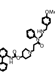 COc1ccc(CNCN(C(=O)CCN2CCC(OC(=O)Nc3ccccc3-c3ccccc3)CC2)c2ccccc2)cc1